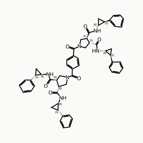 O=C(N[C@@H]1C[C@H]1c1ccccc1)[C@H]1CN(C(=O)c2ccc(C(=O)N3C[C@@H](C(=O)N[C@@H]4C[C@H]4c4ccccc4)[C@H](C(=O)N[C@@H]4C[C@H]4c4ccccc4)C3)cc2)C[C@@H]1C(=O)N[C@@H]1C[C@H]1c1ccccc1